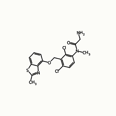 Cc1nc2c(OCc3c(Cl)ccc(N(C)C(=O)CN)c3Cl)cccc2s1